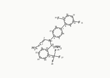 C=C=CN(c1ccc(-c2cc(F)ccc2F)cc1)C(N)c1ccccc1C(F)(F)F